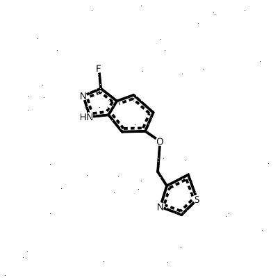 Fc1n[nH]c2cc(OCc3cscn3)ccc12